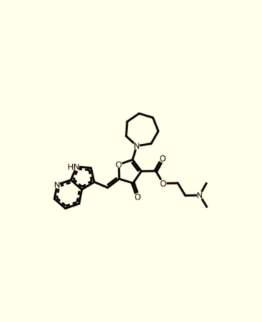 CN(C)CCOC(=O)C1=C(N2CCCCCC2)OC(=Cc2c[nH]c3ncccc23)C1=O